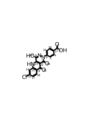 O=C(O)c1ccc(-n2nc(O)c3[nH]c4cc(Cl)ccc4c(=O)c3c2=O)cc1